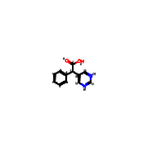 O=C(O)C(c1ccccc1)c1cncnc1